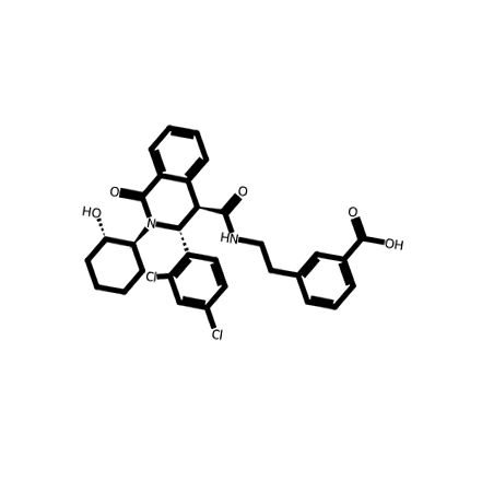 O=C(O)c1cccc(CCNC(=O)[C@@H]2c3ccccc3C(=O)N([C@H]3CCCC[C@@H]3O)[C@H]2c2ccc(Cl)cc2Cl)c1